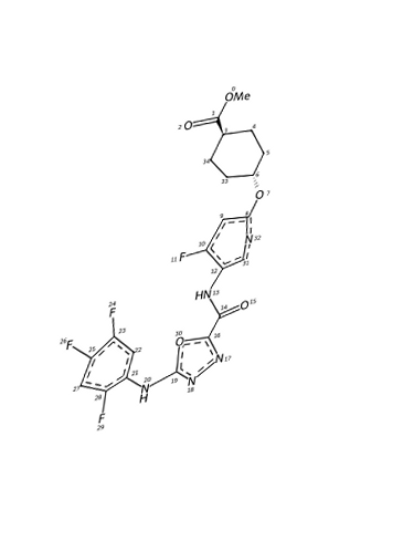 COC(=O)[C@H]1CC[C@H](Oc2cc(F)c(NC(=O)c3nnc(Nc4cc(F)c(F)cc4F)o3)cn2)CC1